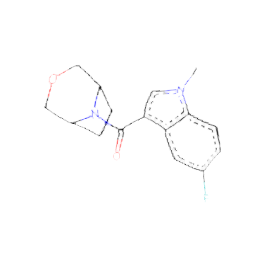 Cn1cc(C(=O)N2C3CCC2COC3)c2cc(F)ccc21